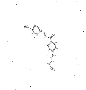 CC(C)(C)c1ccc(/C=C/C(=O)c2ccc(OCCCC(F)(F)F)cc2)cc1